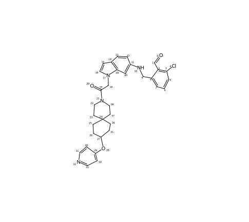 O=Cc1c(Cl)cccc1CNc1ccc2ccn(CC(=O)N3CCC4(CCC(Oc5ccncc5)CC4)CC3)c2c1